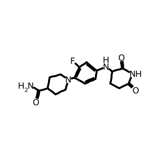 NC(=O)C1CCN(c2ccc(NC3CCC(=O)NC3=O)cc2F)CC1